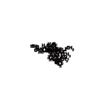 C=CCCC(C)/C1=C(/c2cc(N3CCN4CCCC[C@@H]4C3)cnc2[C@H](C)OC)N(CC)N(CCC=C)C[C@H](NC(=O)[C@H](C(C)C)N(C)C(=O)N2CCC3(CCN(C(=O)OC(C)(C)C)C3)CC2)C(=O)N2CCC[C@@H](CC(=O)OCC(C)(C)C1)N2